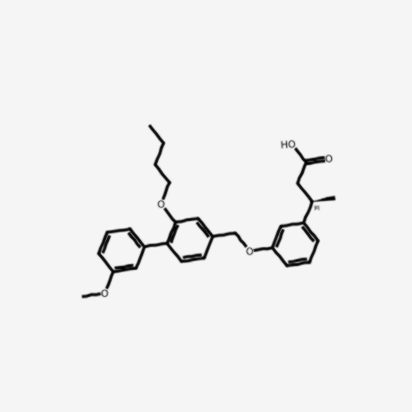 CCCCOc1cc(COc2cccc([C@H](C)CC(=O)O)c2)ccc1-c1cccc(OC)c1